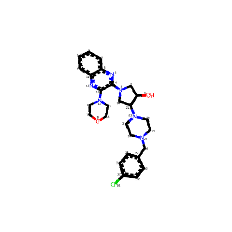 OC1CN(c2nc3ccccc3nc2N2CCOCC2)CC1N1CCN(Cc2ccc(Cl)cc2)CC1